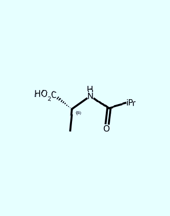 CC(C)C(=O)N[C@H](C)C(=O)O